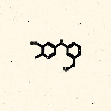 O=Cc1nc(Nc2cc(OC(F)(F)F)ccn2)ccc1F